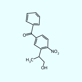 CC(CO)c1cc(C(=O)c2ccccc2)ccc1[N+](=O)[O-]